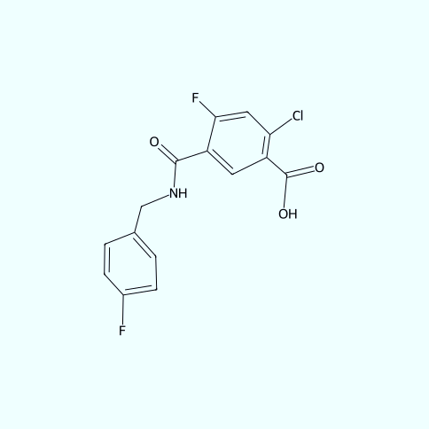 O=C(NCc1ccc(F)cc1)c1cc(C(=O)O)c(Cl)cc1F